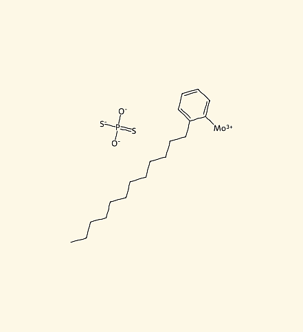 CCCCCCCCCCCCc1cccc[c]1[Mo+3].[O-]P([O-])(=S)[S-]